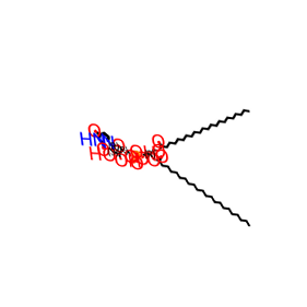 CCCCCCCCCCCCCCCCCCCCCC(=O)OC[C@H](COP(=O)(O)OC[C@H]1O[C@@H](n2ccc(=O)[nH]c2=O)[C@@H](O)C1O)OC(=O)CCCCCCCCCCCCCCCCCCCCC